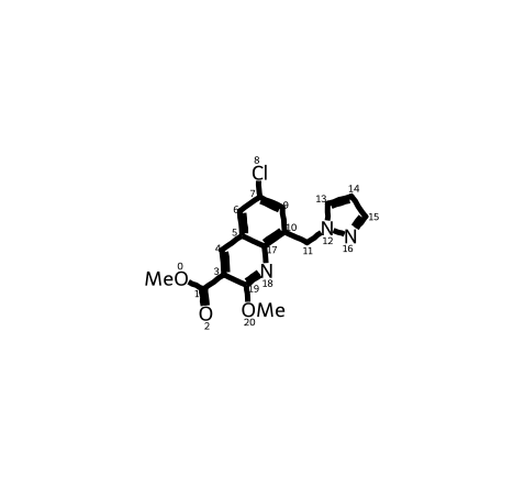 COC(=O)c1cc2cc(Cl)cc(Cn3cccn3)c2nc1OC